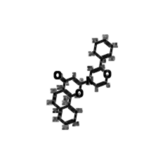 O=c1cc(N2C=COC(C3=CC=CCC3)=C2)oc2c1ccc1ccccc12